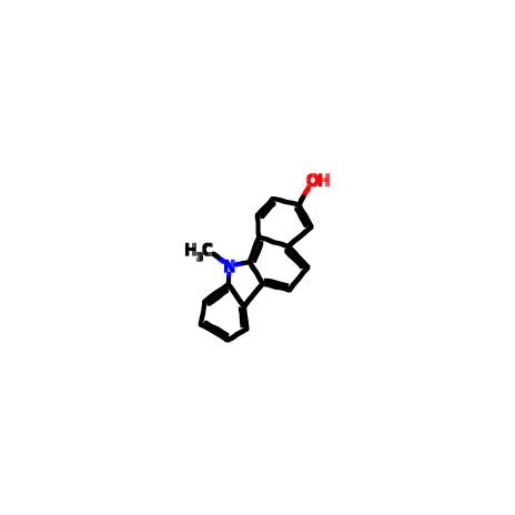 Cn1c2ccccc2c2ccc3cc(O)ccc3c21